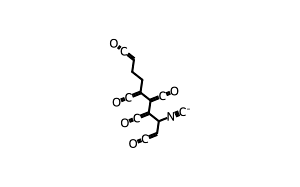 [C-]#[N+]C(C=C=O)C(=C=O)C(=C=O)C(=C=O)CCC=C=O